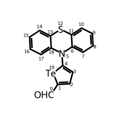 O=Cc1ccc(N2c3ccccc3Sc3ccccc32)[te]1